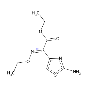 CCO/N=C(/C(=O)OCC)c1csc(N)n1